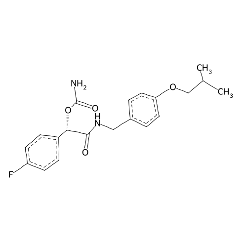 CC(C)COc1ccc(CNC(=O)[C@@H](OC(N)=O)c2ccc(F)cc2)cc1